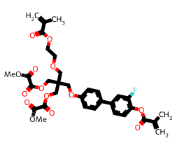 C=C(C)C(=O)OCCOCC(COC(=O)C(=O)OC)(COC(=O)C(=O)OC)COc1ccc(-c2ccc(OC(=O)C(=C)C)c(F)c2)cc1